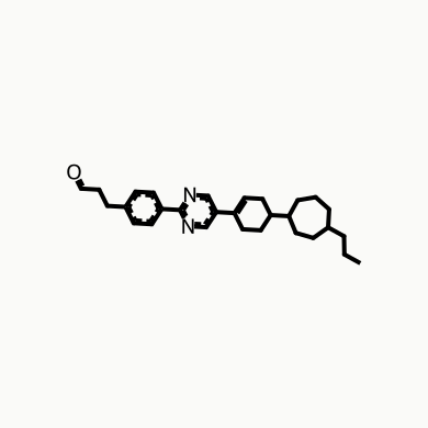 CCCC1CCCC(C2CC=C(c3cnc(-c4ccc(CCC=O)cc4)nc3)CC2)CC1